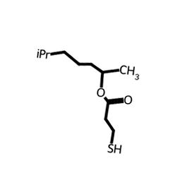 CC(C)CCCC(C)OC(=O)CCS